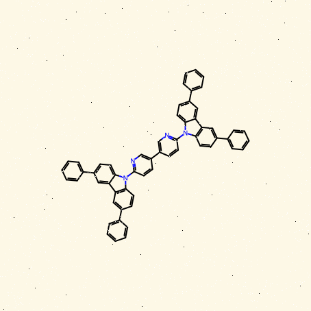 c1ccc(-c2ccc3c(c2)c2cc(-c4ccccc4)ccc2n3-c2ccc(-c3ccc(-n4c5ccc(-c6ccccc6)cc5c5cc(-c6ccccc6)ccc54)nc3)cn2)cc1